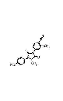 Cc1cc(N2C(=O)C(C)N(c3ccc(O)cc3)C2=S)ccc1C#N